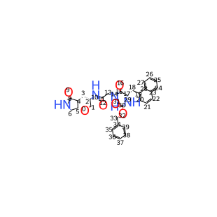 O=C[C@H](C[C@@H]1CCNC1=O)NC(=O)CNC(=O)[C@H](Cc1cccc2ccccc12)NC(=O)OCc1ccccc1